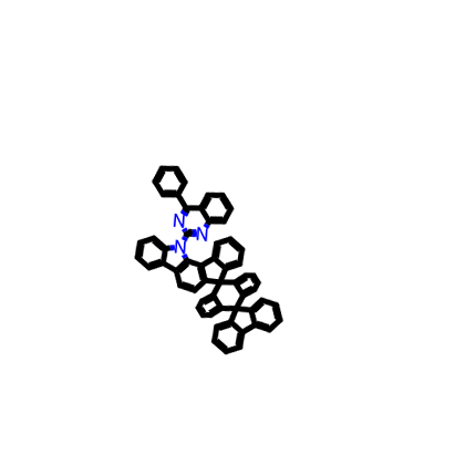 c1ccc(-c2nc(-n3c4ccccc4c4ccc5c(c43)-c3ccccc3C53c4ccccc4C4(c5ccccc5-c5ccccc54)c4ccccc43)nc3ccccc23)cc1